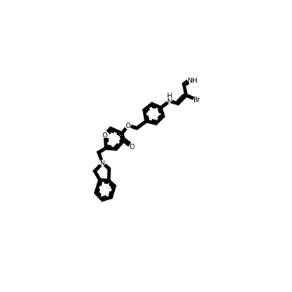 N=C/C(Br)=C\Nc1ccc(COc2coc(CN3Cc4ccccc4C3)cc2=O)cc1